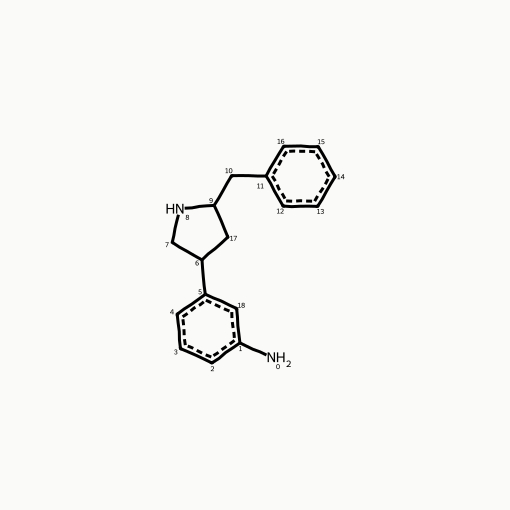 Nc1cccc(C2CNC(Cc3ccccc3)C2)c1